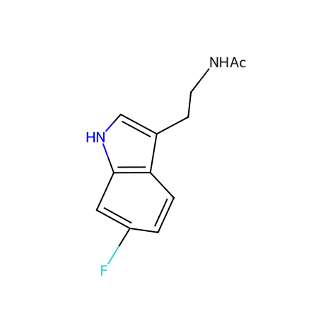 CC(=O)NCCc1c[nH]c2cc(F)ccc12